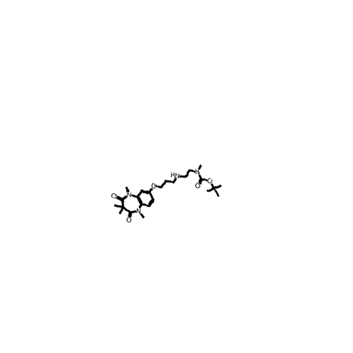 CN(CCNCCCOc1ccc2c(c1)N(C)C(=O)C(C)(C)C(=O)N2C)C(=O)OC(C)(C)C